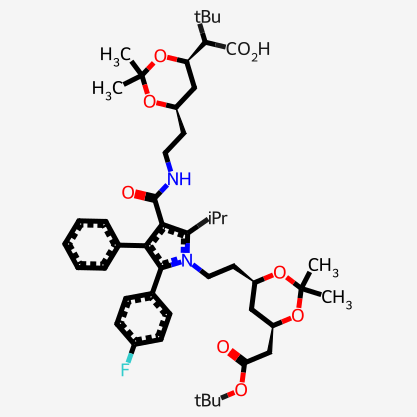 CC(C)c1c(C(=O)NCC[C@@H]2C[C@H](C(C(=O)O)C(C)(C)C)OC(C)(C)O2)c(-c2ccccc2)c(-c2ccc(F)cc2)n1CC[C@@H]1C[C@H](CC(=O)OC(C)(C)C)OC(C)(C)O1